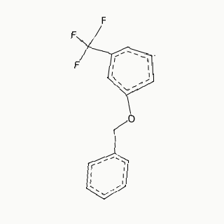 FC(F)(F)c1c[c]cc(OCc2ccccc2)c1